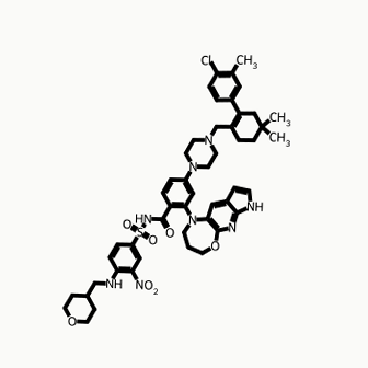 Cc1cc(C2=C(CN3CCN(c4ccc(C(=O)NS(=O)(=O)c5ccc(NCC6CCOCC6)c([N+](=O)[O-])c5)c(N5CCCOc6nc7[nH]ccc7cc65)c4)CC3)CCC(C)(C)C2)ccc1Cl